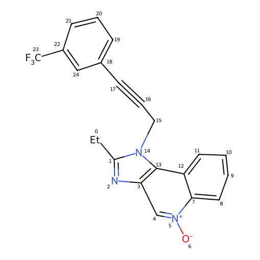 CCc1nc2c[n+]([O-])c3ccccc3c2n1CC#Cc1cccc(C(F)(F)F)c1